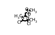 CN1C(CS(C)(=O)=O)=NC(C)(Cl)CC1Cl